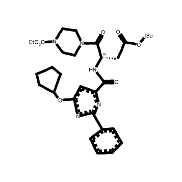 CCOC(=O)N1CCN(C(=O)[C@H](CC(=O)OC(C)(C)C)NC(=O)c2cc(OC3CCCC3)nc(-c3ccccc3)n2)CC1